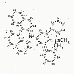 CC1(C)c2ccccc2-c2cc(N(c3ccc4ccccc4c3)c3cccc4ccccc34)cc(-c3ccccc3)c21